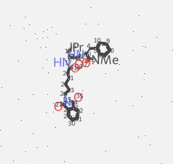 CNC(=O)[C@H](Cc1ccccc1)NC(=O)[C@H](CC(C)C)NC(=O)CCCCCN1C(=O)c2ccccc2C1=O